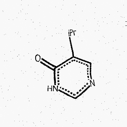 CC(C)c1cnc[nH]c1=O